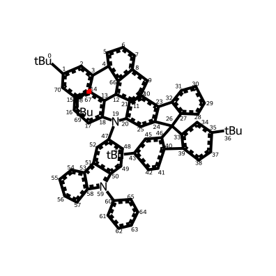 CC(C)(C)c1cc(-c2cccc3cccc(-c4ccccc4N(c4ccc5c(c4)C4(c6ccccc6-5)c5cc(C(C)(C)C)ccc5-c5ccc(C(C)(C)C)cc54)c4ccc5c(c4)c4ccccc4n5-c4ccccc4)c23)cc(C(C)(C)C)c1